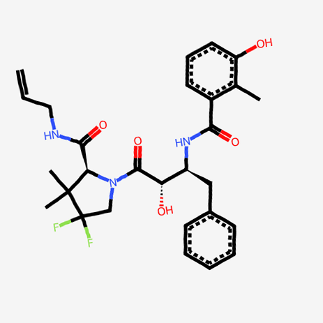 C=CCNC(=O)[C@H]1N(C(=O)[C@@H](O)[C@H](Cc2ccccc2)NC(=O)c2cccc(O)c2C)CC(F)(F)C1(C)C